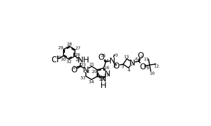 CN(OC1CN(C(=O)OC(C)(C)C)C1)C(=O)c1n[nH]c2c1CN(C(=O)Nc1cccc(Cl)c1)CC2